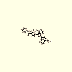 Nc1nccn2c(C3CCC4(CO)CC3CCO4)nc(-c3ccc(C(=O)Nc4ccccn4)cc3)c12